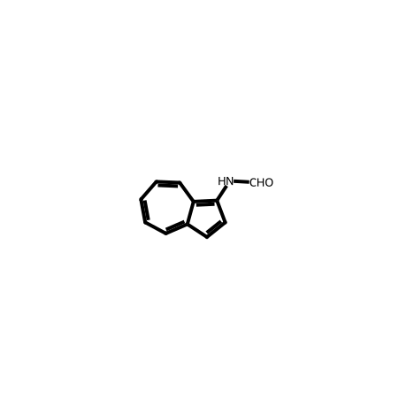 O=CNc1ccc2cccccc1-2